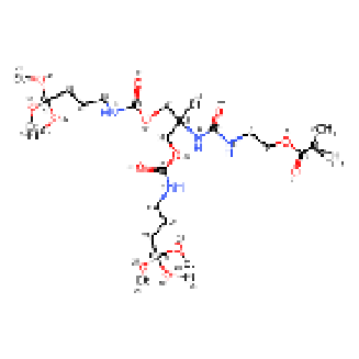 C=C(C)C(=O)OCCNC(=O)NC(CC)(COC(=O)NCCC[Si](OCC)(OCC)OCC)COC(=O)NCCC[Si](OCC)(OCC)OCC